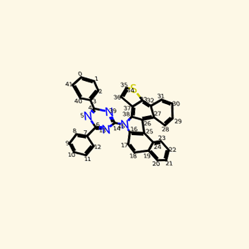 c1ccc(-c2nc(-c3ccccc3)nc(-n3c4ccc5ccccc5c4c4c5ccccc5c5sccc5c43)n2)cc1